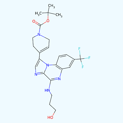 CC(C)(C)OC(=O)N1CC=C(c2cnc3c(NCCCO)nc4cc(C(F)(F)F)ccc4n23)CC1